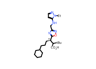 CCn1nccc1NCc1noc([C@H](CCCC2CCCCC2)C(C(=O)O)C(C)(C)C)n1